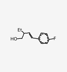 CCC(/C=C/c1ccc(F)cc1)CO